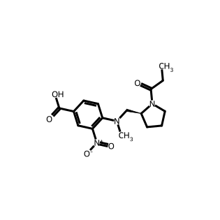 CCC(=O)N1CCC[C@H]1CN(C)c1ccc(C(=O)O)cc1[N+](=O)[O-]